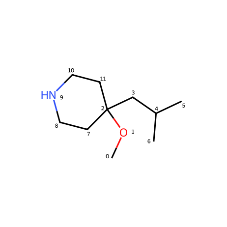 COC1(CC(C)C)CCNCC1